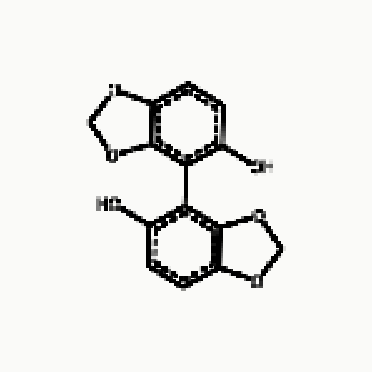 Oc1ccc2c(c1-c1c(O)ccc3c1OCO3)OCO2